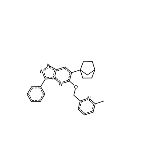 Cc1cccc(COc2nn3c(-c4ccccc4)nnc3cc2C23CCC(CC2)C3)n1